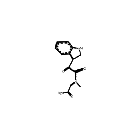 CN(CC(=O)O)C(=O)C(=O)C1CNc2ccccc21